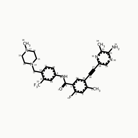 Cc1cc(F)c(C(=O)Nc2ccc(CN3CCN(C)CC3)c(C(F)(F)F)c2)cc1C#Cc1cnc(N)c(C)n1